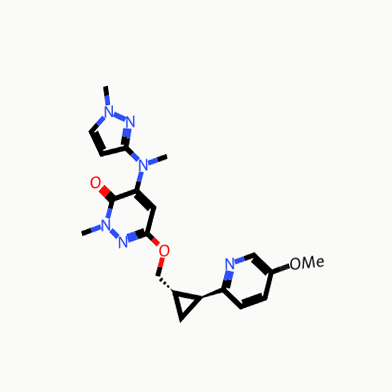 COc1ccc([C@H]2C[C@@H]2COc2cc(N(C)c3ccn(C)n3)c(=O)n(C)n2)nc1